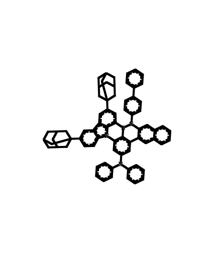 c1ccc(-c2ccc(N3B4c5c(cc(N(c6ccccc6)c6ccccc6)cc5-n5c6ccc(C78CC9CC(CC(C9)C7)C8)cc6c6cc(C78CC9CC(CC(C9)C7)C8)cc4c65)-c4cc5ccccc5cc43)cc2)cc1